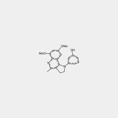 COc1cc(OC)c2nc(C)c3c(c2c1)N(c1cccc(O)c1)CC3